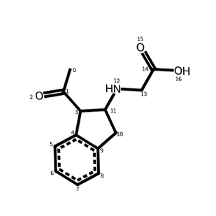 CC(=O)C1c2ccccc2CC1NCC(=O)O